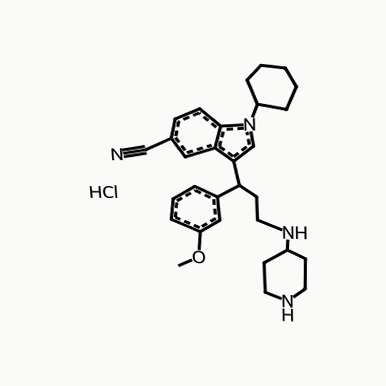 COc1cccc(C(CCNC2CCNCC2)c2cn(C3CCCCC3)c3ccc(C#N)cc23)c1.Cl